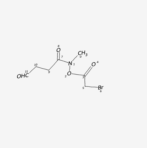 CN(OC(=O)CBr)C(=O)CCC=O